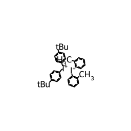 CC(C)(C)c1ccc([I+]c2ccc(C(C)(C)C)cc2)cc1.Cc1ccccc1[I+]c1ccccc1C